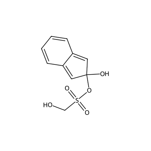 O=S(=O)(CO)OC1(O)C=c2ccccc2=C1